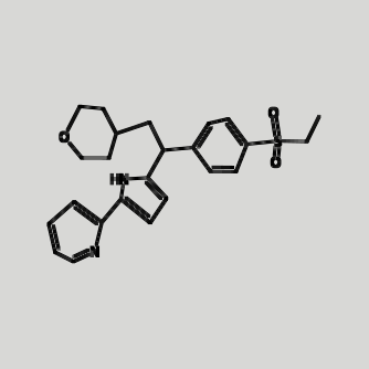 CCS(=O)(=O)c1ccc(C(CC2CCOCC2)c2ccc(-c3ccccn3)[nH]2)cc1